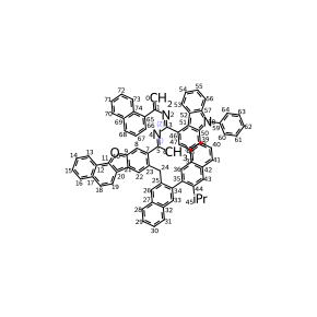 C=C(/N=C(\N=C(/C)c1cc2oc3c4ccccc4ccc3c2cc1Cc1cc2ccccc2cc1-c1cc2ccccc2cc1C(C)C)c1cccc2c1c1ccccc1n2-c1ccccc1)c1cccc2ccccc12